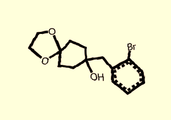 OC1(Cc2ccccc2Br)CCC2(CC1)OCCO2